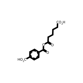 O=C(O)CCCCC(=O)OC(=O)c1ccc(C(=O)O)cc1